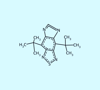 CC(C)(C)c1c2c(c(C(C)(C)C)c3nsnc13)N=C=N2